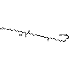 CCCCC/C=C\C/C=C\CCCCCCCC(=O)CCCCCCCCCCC(=O)NC[C@@H](O)CCCCCCCCCCCCCCCCCC